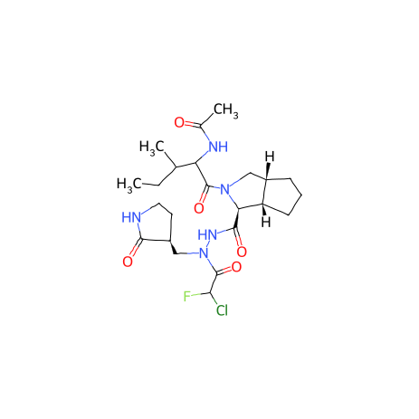 CCC(C)C(NC(C)=O)C(=O)N1C[C@@H]2CCC[C@@H]2[C@H]1C(=O)NN(C[C@@H]1CCNC1=O)C(=O)C(F)Cl